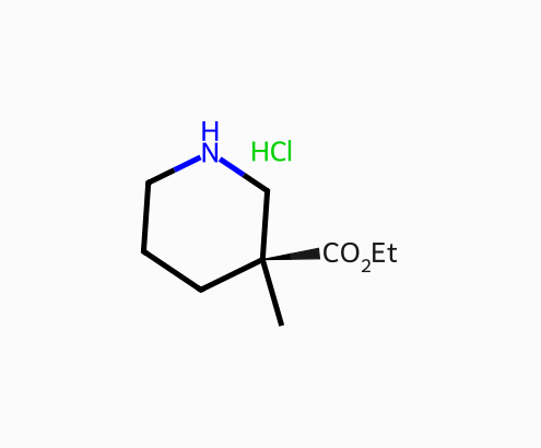 CCOC(=O)[C@@]1(C)CCCNC1.Cl